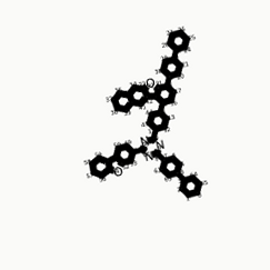 c1ccc(-c2ccc(-c3nc(-c4ccc(-c5ccc(-c6ccc(-c7ccccc7)cc6)c6oc7cc8ccccc8cc7c56)cc4)nc(-c4ccc5c(c4)oc4ccccc45)n3)cc2)cc1